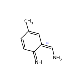 CC1=C/C(=C/N)C(=N)C=C1